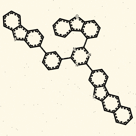 c1cc(-c2ccc3c(c2)sc2ccccc23)cc(-c2nc(-c3ccc4c(c3)sc3cc5ccccc5cc34)nc(-c3cccc4oc5ccccc5c34)n2)c1